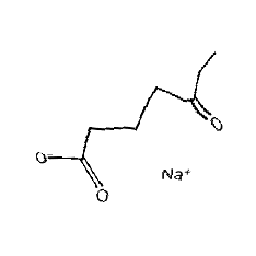 CC(=O)CCCC(=O)[O-].[Na+]